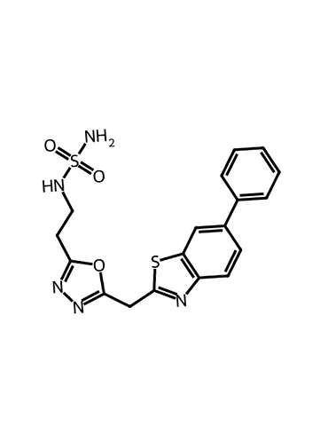 NS(=O)(=O)NCCc1nnc(Cc2nc3ccc(-c4ccccc4)cc3s2)o1